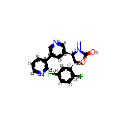 O=C1N[C@H](c2cncc(-c3cccnc3)c2)[C@@H](c2cc(F)ccc2F)O1